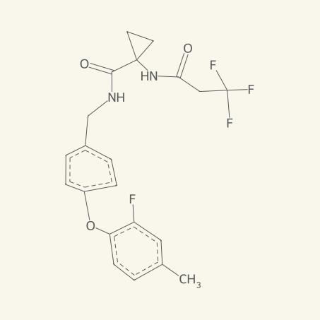 Cc1ccc(Oc2ccc(CNC(=O)C3(NC(=O)CC(F)(F)F)CC3)cc2)c(F)c1